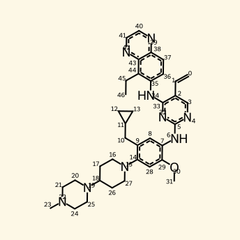 C=Cc1cnc(Nc2cc(CC3CC3)c(N3CCC(N4CCN(C)CC4)CC3)cc2OC)nc1Nc1ccc2nccnc2c1CC